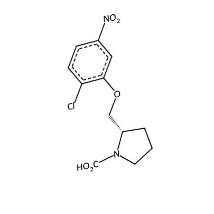 O=C(O)N1CCC[C@H]1COc1cc([N+](=O)[O-])ccc1Cl